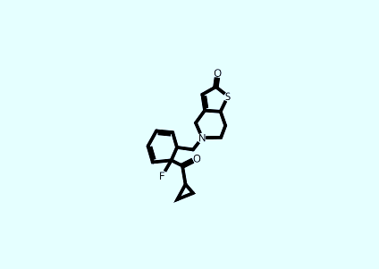 O=C1C=C2CN(CC3C=CC=CC3(F)C(=O)C3CC3)CCC2S1